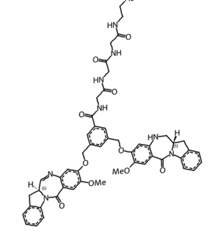 COc1cc2c(cc1OCc1cc(COc3cc4c(cc3OC)C(=O)N3c5ccccc5C[C@H]3CN4)cc(C(=O)NCC(=O)NCC(=O)NCC(=O)NCCC(C)=O)c1)N=C[C@@H]1Cc3ccccc3N1C2=O